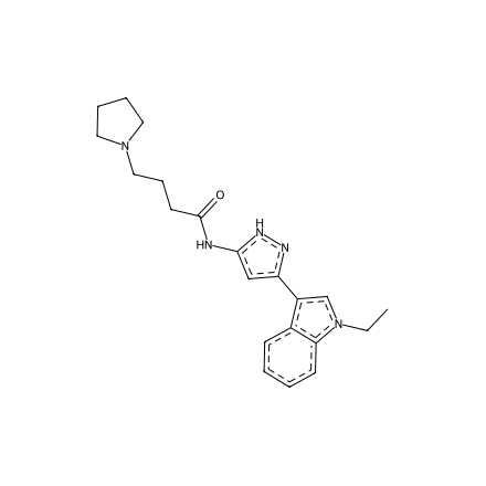 CCn1cc(-c2cc(NC(=O)CCCN3CCCC3)[nH]n2)c2ccccc21